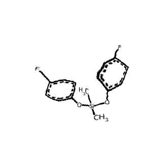 C[Si](C)(Oc1ccc(F)cc1)Oc1ccc(F)cc1